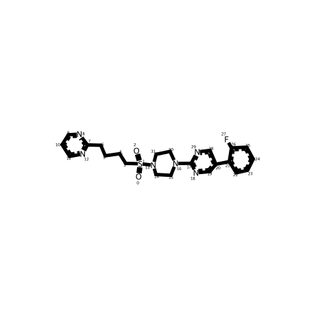 O=S(=O)(C[CH]CCc1ncccn1)N1CCN(c2ncc(-c3ccccc3F)cn2)CC1